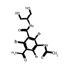 CC(=O)Nc1c(Br)c(C(N)=O)c(Br)c(C(=O)NC(CO)CO)c1Br